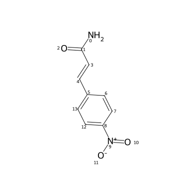 NC(=O)/C=C/c1ccc([N+](=O)[O-])cc1